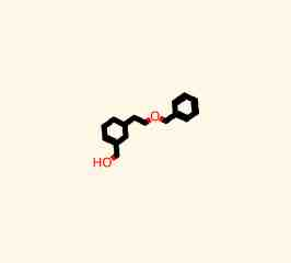 OCC1=CCCC(CCOCc2ccccc2)C1